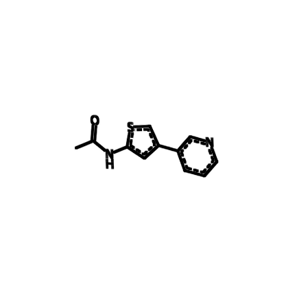 CC(=O)Nc1cc(-c2cccnc2)cs1